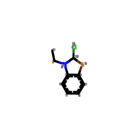 CCN1c2ccccc2SC1Cl